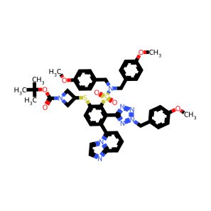 COc1ccc(CN(Cc2ccc(OC)cc2)S(=O)(=O)c2c(SC3CN(C(=O)OC(C)(C)C)C3)ccc(-c3cccc4nccn34)c2-c2nnn(Cc3ccc(OC)cc3)n2)cc1